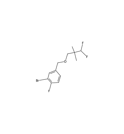 CC(C)(COCc1ccc(F)c(Br)c1)C(F)F